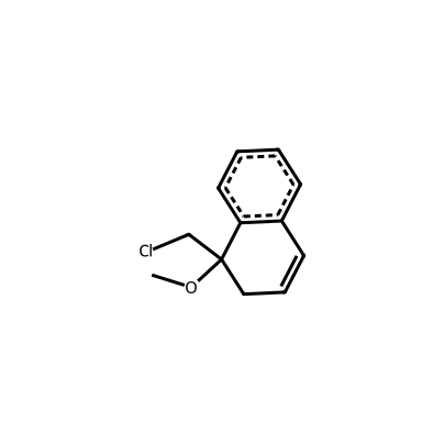 COC1(CCl)CC=Cc2ccccc21